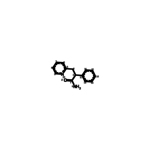 NC(=O)C(Cc1ccccn1)c1ccccc1